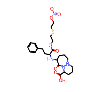 O=C(OCCSCCO[N+](=O)[O-])C(CCc1ccccc1)NC1CCCN2CCCC(C(=O)O)N2C1=O